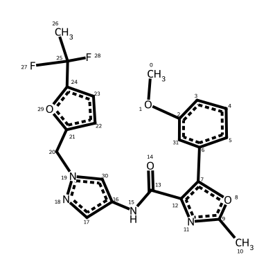 COc1cccc(-c2oc(C)nc2C(=O)Nc2cnn(Cc3ccc(C(C)(F)F)o3)c2)c1